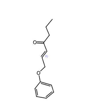 CCCC(=O)/C=C/COc1ccccc1